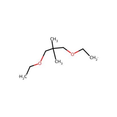 [CH2]COCC(C)(C)COC[CH2]